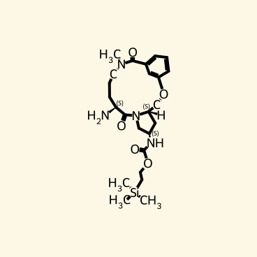 CN1CCC[C@H](N)C(=O)N2C[C@@H](NC(=O)OCC[Si](C)(C)C)C[C@H]2COc2cccc(c2)C1=O